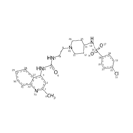 Cc1cc(NC(=O)NCCN2CCC(NS(=O)(=O)c3ccc(Cl)cc3)CC2)c2ccccc2n1